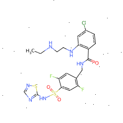 CCNCCNc1cc(Cl)ccc1C(=O)NCc1cc(F)c(S(=O)(=O)Nc2ncns2)cc1F